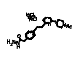 CC(=O)N1CCN(c2cccc(CCc3ccc(CC(=O)NN)cc3)n2)CC1.Cl.Cl.Cl